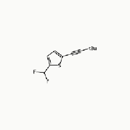 CC(C)(C)C#Cc1ccc(C(F)F)s1